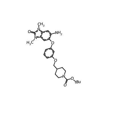 Cn1c(=O)n(C)c2cc(Oc3cccc(OCC4CCN(C(=O)OC(C)(C)C)CC4)c3)c(N)cc21